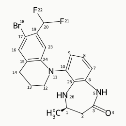 C[C@@H]1CC(=O)Nc2cccc(N3CCCc4cc(Br)c(C(F)F)cc43)c2N1